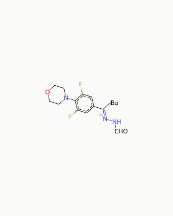 CCC(C)/C(=N\NC=O)c1cc(F)c(N2CCOCC2)c(F)c1